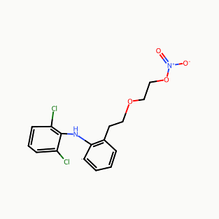 O=[N+]([O-])OCCOCCc1ccc[c]c1Nc1c(Cl)cccc1Cl